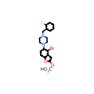 O=C(O)Oc1cc2c(Br)c(N3CCN(Cc4ccccc4F)CC3)ccc2o1